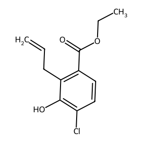 C=CCc1c(C(=O)OCC)ccc(Cl)c1O